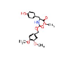 COC(=O)C(Cc1ccc(O)cc1)NC(=O)OCc1ccc(OC)c(OC)c1